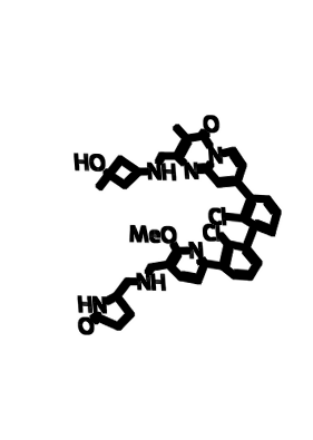 COc1nc(-c2cccc(-c3cccc(-c4ccn5c(=O)c(C)c(CNC6CC(C)(O)C6)nc5c4)c3Cl)c2Cl)ccc1CNCC1CCC(=O)N1